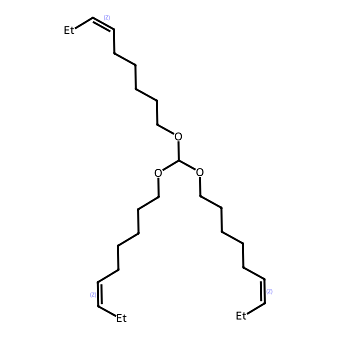 CC/C=C\CCCCCOC(OCCCCC/C=C\CC)OCCCCC/C=C\CC